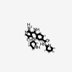 Cc1cnc(N)c(C(=N)c2ccc(C(=O)Nc3ccccn3)cc2)c1N[C@@H]1CC=CNC1